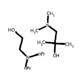 CCCN(CCC)CCO.CN(C)CC(C)(C)O